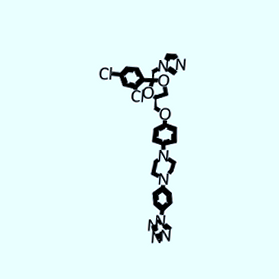 Clc1ccc([C@]2(Cn3ccnc3)OC[C@@H](COc3ccc(N4CCN(c5ccc(-n6cnnn6)cc5)CC4)cc3)O2)c(Cl)c1